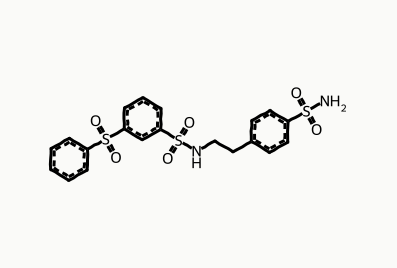 NS(=O)(=O)c1ccc(CCNS(=O)(=O)c2cccc(S(=O)(=O)c3ccccc3)c2)cc1